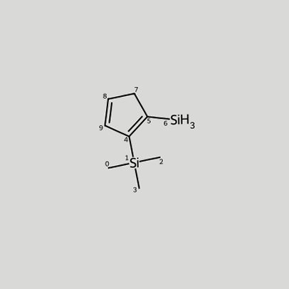 C[Si](C)(C)C1=C([SiH3])CC=C1